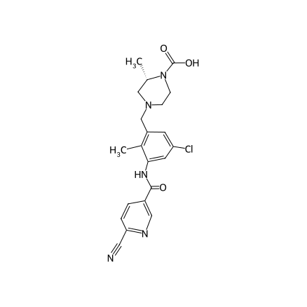 Cc1c(CN2CCN(C(=O)O)[C@@H](C)C2)cc(Cl)cc1NC(=O)c1ccc(C#N)nc1